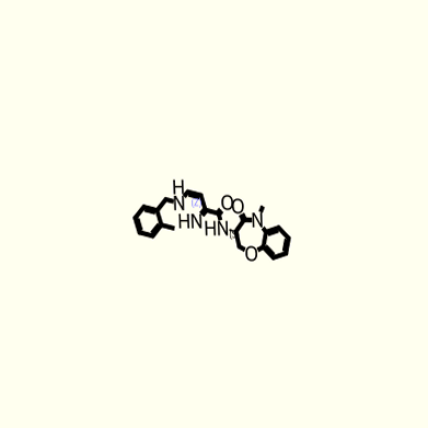 Cc1ccccc1CN/C=C\C(=N)C(=O)N[C@H]1COc2ccccc2N(C)C1=O